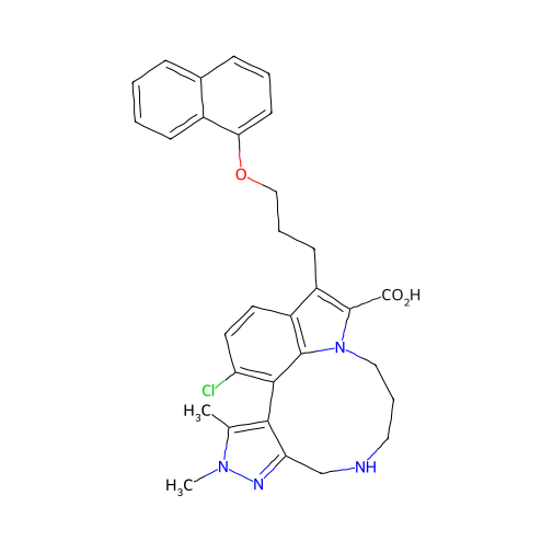 Cc1c2c(nn1C)CNCCCn1c(C(=O)O)c(CCCOc3cccc4ccccc34)c3ccc(Cl)c-2c31